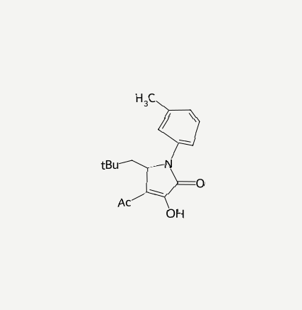 CC(=O)C1=C(O)C(=O)N(c2cccc(C)c2)C1CC(C)(C)C